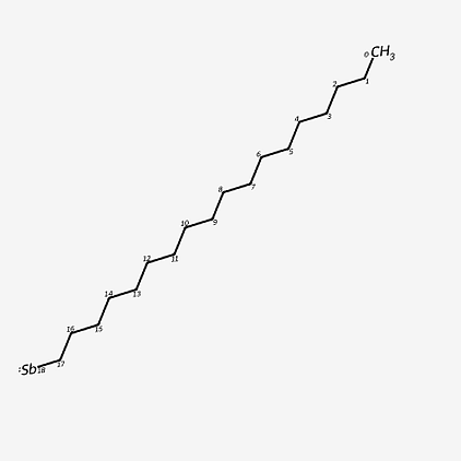 CCCCCCCCCCCCCCCCC[CH2][Sb]